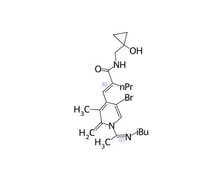 C=C1C(C)=C(/C=C(\CCC)C(=O)NCC2(O)CC2)C(Br)=CN1/C(C)=N\C(C)CC